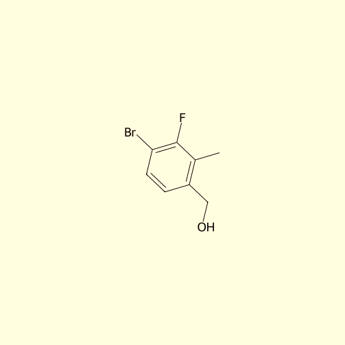 Cc1c(CO)ccc(Br)c1F